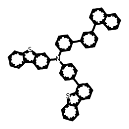 c1cc(-c2cccc(N(c3ccc(-c4cccc5c4sc4ccccc45)cc3)c3ccc4c(c3)sc3ccccc34)c2)cc(-c2cccc3ccccc23)c1